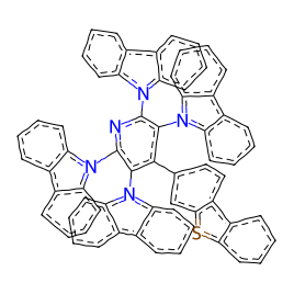 c1ccc2c(c1)sc1cc(-c3c(-n4c5ccccc5c5ccccc54)c(-n4c5ccccc5c5ccccc54)nc(-n4c5ccccc5c5ccccc54)c3-n3c4ccccc4c4ccccc43)ccc12